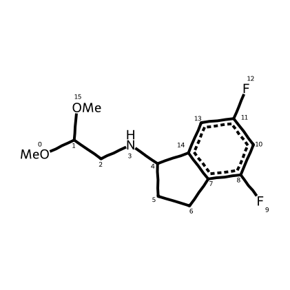 COC(CNC1CCc2c(F)cc(F)cc21)OC